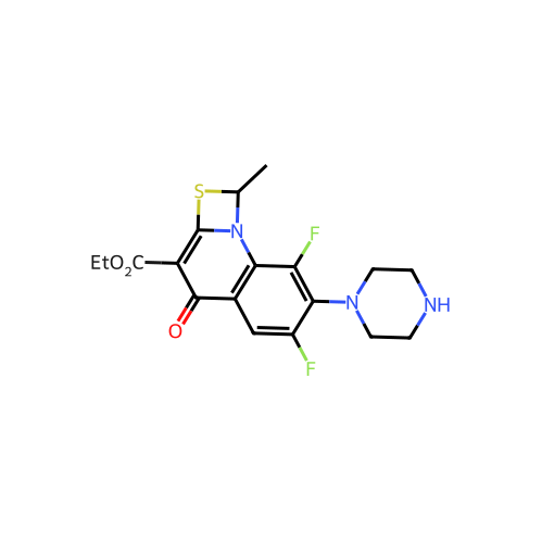 CCOC(=O)c1c2n(c3c(F)c(N4CCNCC4)c(F)cc3c1=O)C(C)S2